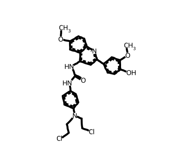 COc1ccc2nc(-c3ccc(O)c(OC)c3)cc(NC(=O)Nc3ccc(N(CCCl)CCCl)cc3)c2c1